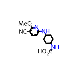 COc1nc(NC2CCC(NC(=O)O)CC2)ccc1C#N